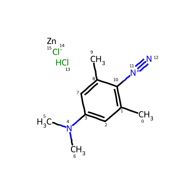 Cc1cc(N(C)C)cc(C)c1[N+]#N.Cl.[Cl-].[Zn]